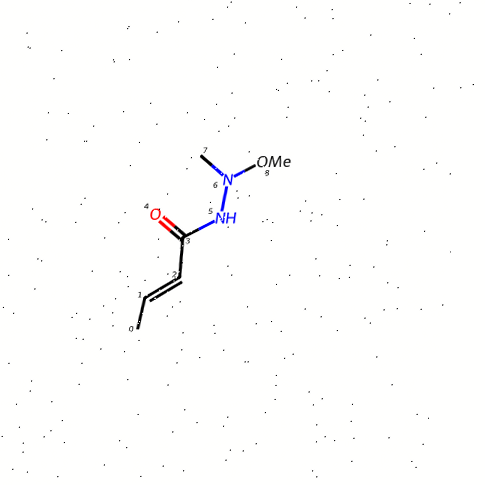 CC=CC(=O)NN(C)OC